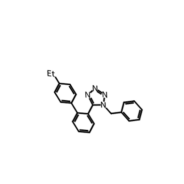 CCc1ccc(-c2ccccc2-c2nnnn2Cc2ccccc2)cc1